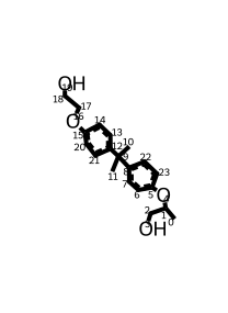 CC(CO)Oc1ccc(C(C)(C)c2ccc(OCCO)cc2)cc1